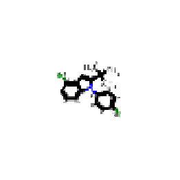 CC(C)(C)c1cc2c(Br)cccc2n1-c1ccc(F)cc1